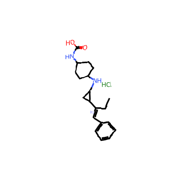 CC/C(=C\c1ccccc1)C1CC1NC1CCC(NC(=O)O)CC1.Cl